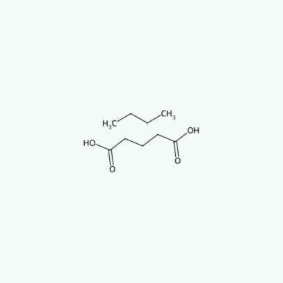 C[CH]CC.O=C(O)CCCC(=O)O